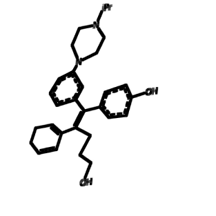 CC(C)N1CCN(c2cccc(/C(=C(/CCCO)C3=CCCC=C3)c3ccc(O)cc3)c2)CC1